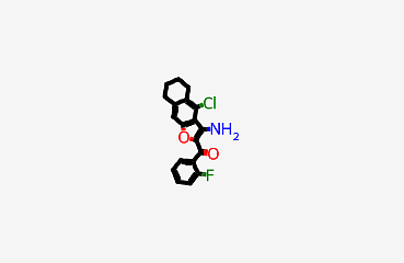 Nc1c(C(=O)c2ccccc2F)oc2cc3c(c(Cl)c12)CCCC3